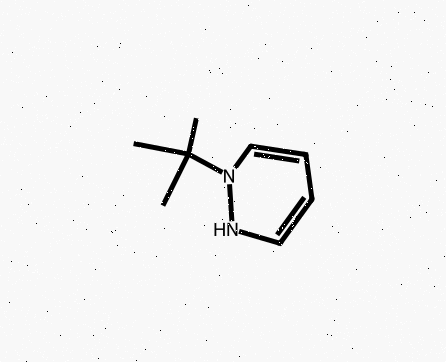 CC(C)(C)N1C=CC=CN1